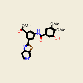 COC(=O)c1cc(NC(=O)c2cc(O)c(OC)c(OC)c2)cc(C2=NC3CC=NC=C3S2)c1